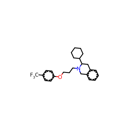 FC(F)(F)c1ccc(OCCCN2Cc3ccccc3CC2C2CCCCC2)cc1